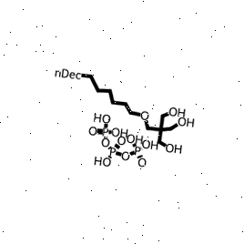 CCCCCCCCCCCCCCCCOCC(CO)(CO)CO.O=P(O)(O)OP(=O)(O)OP(=O)(O)O